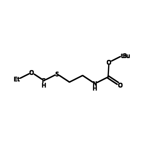 CCOPSCCNC(=O)OC(C)(C)C